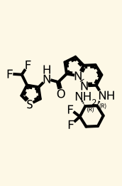 N[C@@H]1[C@H](Nc2ccc3ccc(C(=O)Nc4cscc4C(F)F)n3n2)CCCC1(F)F